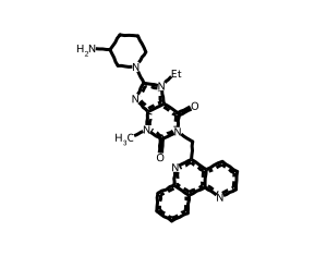 CCn1c(N2CCCC(N)C2)nc2c1c(=O)n(Cc1nc3ccccc3c3ncccc13)c(=O)n2C